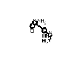 NCC1CN=C(c2ccc(C#Cc3c(N)ncc4ccc(Cl)cc34)cc2)N1